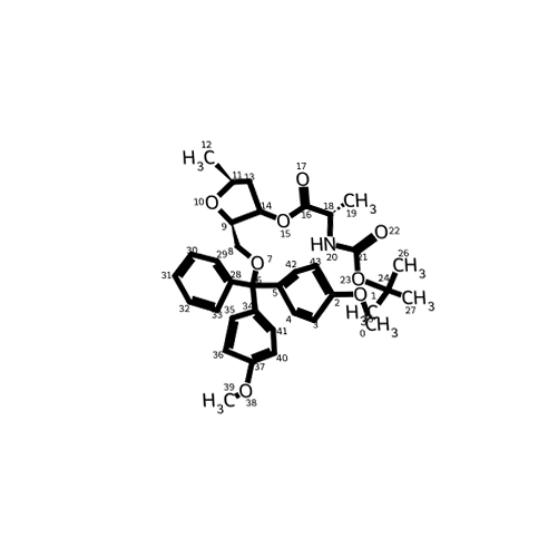 COc1ccc(C(OC[C@H]2O[C@@H](C)CC2OC(=O)[C@H](C)NC(=O)OC(C)(C)C)(c2ccccc2)c2ccc(OC)cc2)cc1